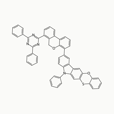 c1ccc(-c2nc(-c3ccccc3)nc(-c3cccc4c3COc3c(-c5ccc6c(c5)c5cc7c(cc5n6-c5ccccc5)Sc5ccccc5O7)cccc3-4)n2)cc1